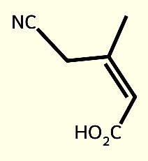 C/C(=C/C(=O)O)CC#N